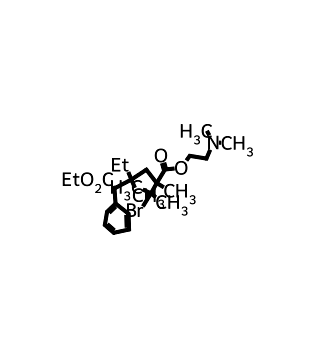 CCOC(=O)C(c1ccccc1)C(C)(CC)CC(C)(C(=O)OCCN(C)C)C(C)(C)Br